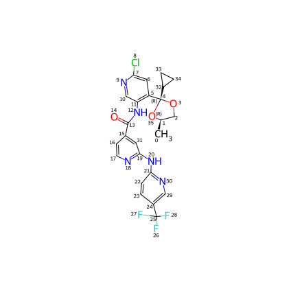 C[C@@H]1CO[C@](c2cc(Cl)ncc2NC(=O)c2ccnc(Nc3ccc(C(F)(F)F)cn3)c2)(C2CC2)O1